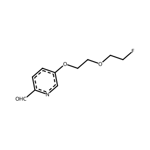 O=Cc1ccc(OCCOCCF)cn1